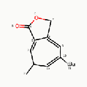 CC1C=C2C(=O)OCC2=CC(C(C)(C)C)=C1